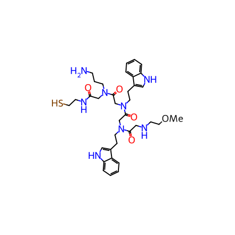 COCCNCC(=O)N(CCc1c[nH]c2ccccc12)CC(=O)N(CCc1c[nH]c2ccccc12)CC(=O)N(CCCN)CC(=O)NCCS